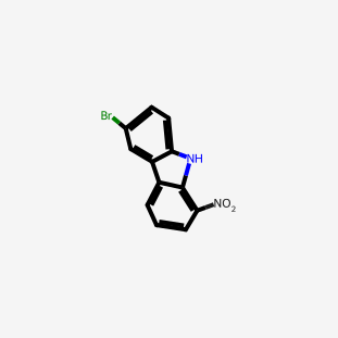 O=[N+]([O-])c1cccc2c1[nH]c1ccc(Br)cc12